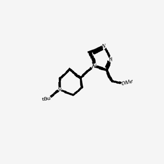 COCc1nncn1C1CCN(C(C)(C)C)CC1